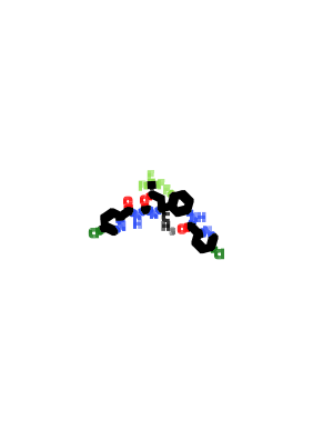 C[C@@]1(c2cc(NC(=O)c3ccc(Cl)cn3)ccc2F)C[C@@H](C(F)(F)F)OC(NC(=O)c2ccc(Cl)cn2)=N1